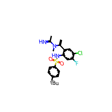 C=C(c1cc(Cl)c(F)cc1NS(=O)(=O)c1ccc(C(C)(C)C)cc1)N(C)C(C)=N